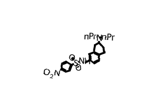 CCCN(CCC)C1CCc2ccc(CNS(=O)(=O)c3ccc([N+](=O)[O-])cc3)cc2C1